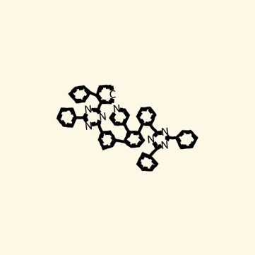 c1ccc(-c2nc(-c3cccc(-c4cccc(-c5ccccc5-c5nc(-c6ccccc6)nc(-c6ccccc6)n5)c4-c4ccncc4)c3)nc(-c3ccccc3-c3ccccc3)n2)cc1